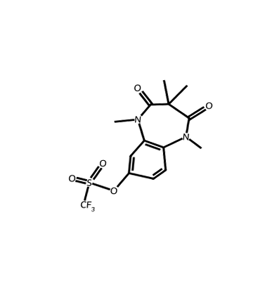 CN1C(=O)C(C)(C)C(=O)N(C)c2cc(OS(=O)(=O)C(F)(F)F)ccc21